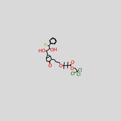 CC(C)(OCCCC1C(=O)CC2C1C2C(O)C(O)C(F)c1ccccc1)C(C)(C)C(=O)OCC(Cl)(Cl)Cl